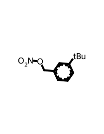 CC(C)(C)c1cccc(CO[N+](=O)[O-])c1